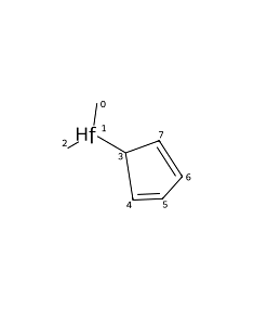 [CH3][Hf]([CH3])[CH]1C=CC=C1